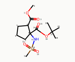 COC(=O)C1CCCC1(NS(C)(=O)=O)C(=O)OC(C)(C)C